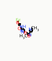 Cc1ccc(-c2noc(C)c2COc2ccc(C(=O)N[C@H]3C[C@H](OC(F)F)C3)nn2)cn1